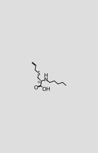 C=CCSC[C@@H](NCCCCC)C(=O)O